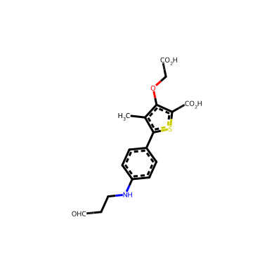 Cc1c(-c2ccc(NCCC=O)cc2)sc(C(=O)O)c1OCC(=O)O